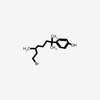 CC(CCBr)CCCC(C)(C)c1ccc(O)cc1